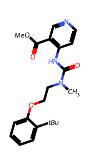 COC(=O)c1cnccc1NC(=O)N(C)CCOc1ccccc1C(C)(C)C